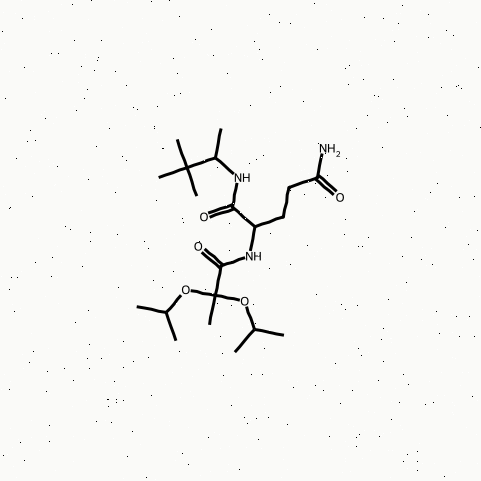 CC(C)OC(C)(OC(C)C)C(=O)NC(CCC(N)=O)C(=O)NC(C)C(C)(C)C